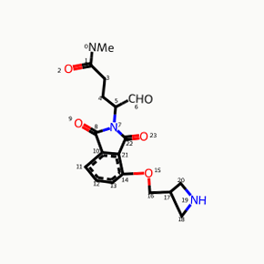 CNC(=O)CCC(C=O)N1C(=O)c2cccc(OCC3CNC3)c2C1=O